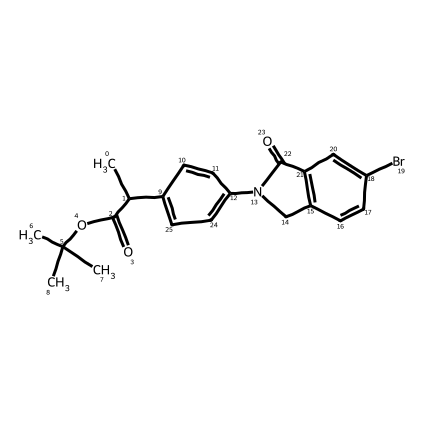 CC(C(=O)OC(C)(C)C)c1ccc(N2Cc3ccc(Br)cc3C2=O)cc1